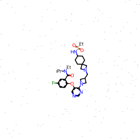 CCN(C(=O)c1cc(F)ccc1Oc1cncnc1N1CC(CN2CC3(CCC(NS(=O)(=O)CC)CC3)C2)C1)C(C)C